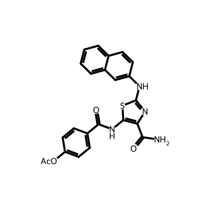 CC(=O)Oc1ccc(C(=O)Nc2sc(Nc3ccc4ccccc4c3)nc2C(N)=O)cc1